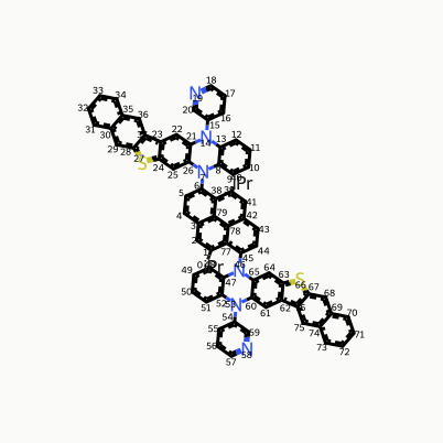 CC(C)c1cc2ccc(N3c4ccccc4N(c4cccnc4)c4cc5c(cc43)sc3cc4ccccc4cc35)c3c(C(C)C)cc4ccc(N5c6ccccc6N(c6cccnc6)c6cc7c(cc65)sc5cc6ccccc6cc57)c1c4c23